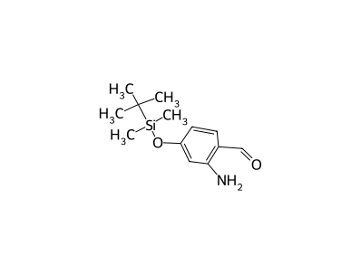 CC(C)(C)[Si](C)(C)Oc1ccc(C=O)c(N)c1